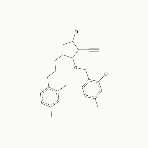 C#CC1C(CC)CC(CCCc2ccc(C)cc2C)C1OCc1ccc(C)cc1Cl